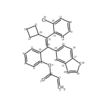 C=CC(=O)Oc1ccccc1/C(=C(/c1ncccc1Cl)C1CCC1)c1ccc2scnc2c1